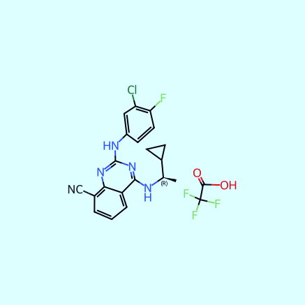 C[C@@H](Nc1nc(Nc2ccc(F)c(Cl)c2)nc2c(C#N)cccc12)C1CC1.O=C(O)C(F)(F)F